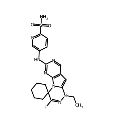 CCN1N=C(F)C2(CCCCC2)n2c1cc1cnc(Nc3ccc(S(N)(=O)=O)nc3)nc12